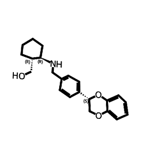 OC[C@@H]1CCCC[C@H]1NCc1ccc([C@H]2COc3ccccc3O2)cc1